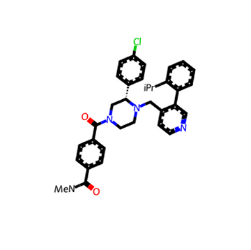 CNC(=O)c1ccc(C(=O)N2CCN(Cc3ccncc3-c3ccccc3C(C)C)[C@@H](c3ccc(Cl)cc3)C2)cc1